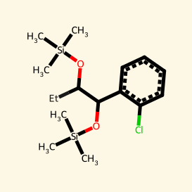 CCC(O[Si](C)(C)C)C(O[Si](C)(C)C)c1ccccc1Cl